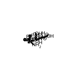 CC(C)(C)[C@H](c1cc(-c2cc(F)ccc2F)cn1Cc1ccccc1)N(CCCN)C(=O)CSC[C@H](NC(=O)CCC(=O)O)C(=O)NCCNC(=O)CNC(=O)CCC(=O)O